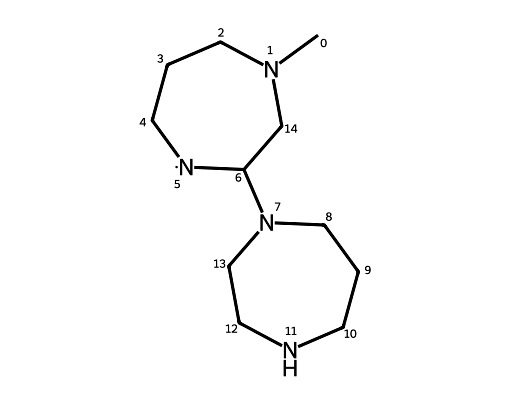 CN1CCC[N]C(N2CCCNCC2)C1